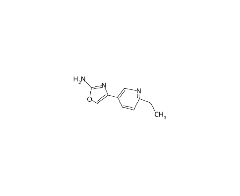 CCc1ccc(-c2coc(N)n2)cn1